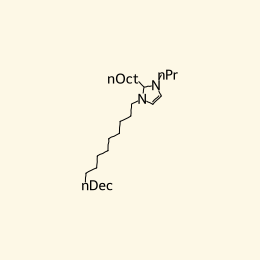 CCCCCCCCCCCCCCCCCCCN1C=CN(CCC)C1CCCCCCCC